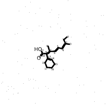 CCC(C)=CC=CC(C)=C(C(=O)O)C1=CCCCC1